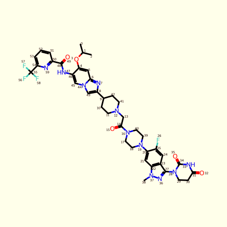 CC(C)Oc1cc2nc(C3CCN(CC(=O)N4CCN(c5cc6c(cc5F)c(N5CCC(=O)NC5=O)nn6C)CC4)CC3)cn2cc1NC(=O)c1cccc(C(F)(F)F)n1